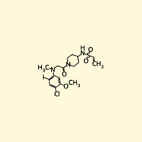 C=CS(=O)(=O)NC1CCN(C(=O)CN(C)c2cc(OC)c(Cl)cc2I)CC1